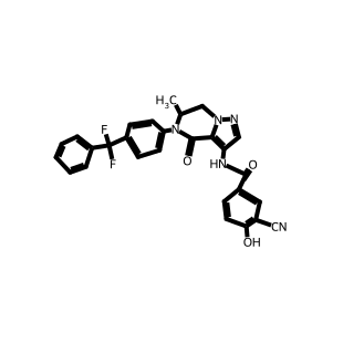 CC1Cn2ncc(NC(=O)c3ccc(O)c(C#N)c3)c2C(=O)N1c1ccc(C(F)(F)c2ccccc2)cc1